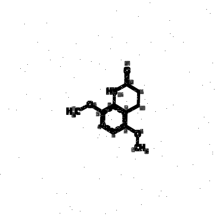 COc1ccc(OC)c2c1CCC(=O)N2